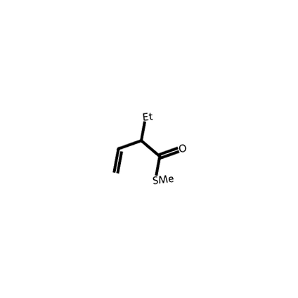 C=CC(CC)C(=O)SC